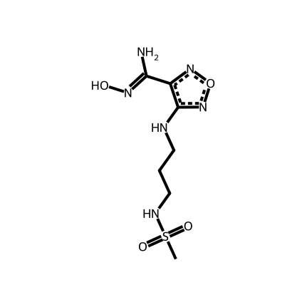 CS(=O)(=O)NCCCNc1nonc1/C(N)=N/O